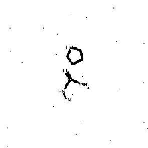 C1CCNC1.N#CNC(=N)N